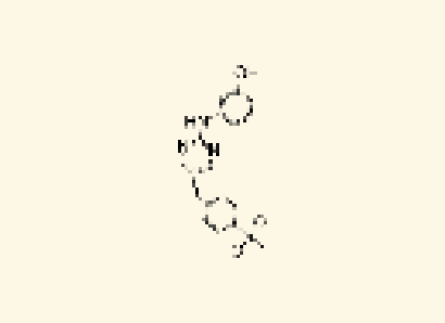 CS(=O)(=O)c1ccc(Oc2cnc(Nc3cccc(O)c3)nc2)cc1